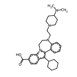 CN(C)C1CCN(CCN2CCn3c(c(C4CCCCC4)c4ccc(C(=O)O)cc43)-c3ccccc32)CC1